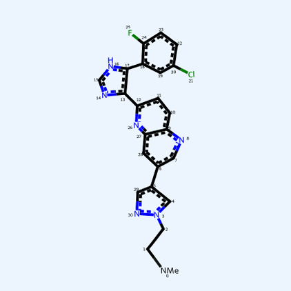 CNCCn1cc(-c2cnc3ccc(-c4nc[nH]c4-c4cc(Cl)ccc4F)nc3c2)cn1